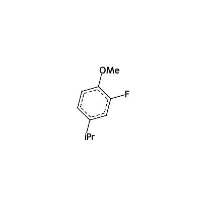 [CH2]C(C)c1ccc(OC)c(F)c1